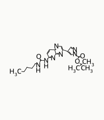 CCCCCNC(=O)Nc1ccc2ncc(-c3cnn(C(=O)OC(C)(C)C)c3)nc2n1